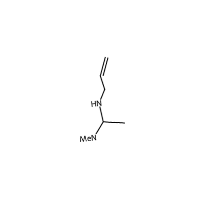 C=CCNC(C)NC